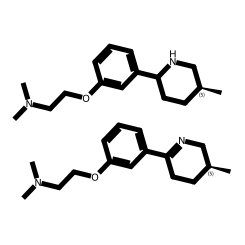 C[C@H]1CCC(c2cccc(OCCN(C)C)c2)=NC1.C[C@H]1CCC(c2cccc(OCCN(C)C)c2)NC1